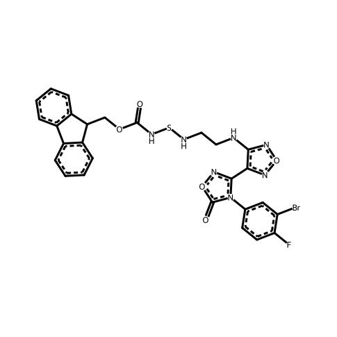 O=C(NSNCCNc1nonc1-c1noc(=O)n1-c1ccc(F)c(Br)c1)OCC1c2ccccc2-c2ccccc21